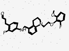 COc1cccc(F)c1OCCN1CCCc2c(CNc3ccc(CCC=O)c(F)c3)cccc21